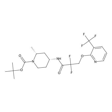 C[C@@H]1C[C@H](NC(=O)C(F)(F)COc2ncccc2C(F)(F)F)CCN1C(=O)OC(C)(C)C